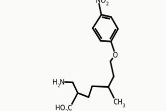 CC(CCOc1ccc([N+](=O)[O-])cc1)CCC(CN)C(=O)O